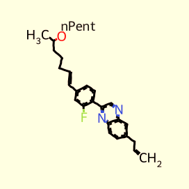 C=CCc1ccc2nc(-c3ccc(/C=C/CCCC(C)OCCCCC)cc3F)cnc2c1